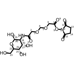 O=C(COCOCC(=O)ON1C(=O)CCC1=O)NC1[C@H](O)OC(CO)[C@@H](O)[C@H]1O